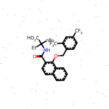 CCCCC(CC)(NC(=O)c1ccc2ccccc2c1OCc1ccc(C(F)(F)F)cc1C(F)(F)F)C(=O)O